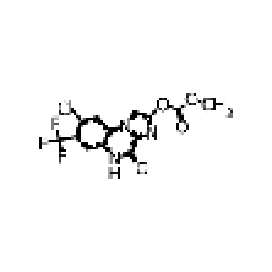 COC(=O)Oc1cn2c(n1)c(=O)[nH]c1cc(C(F)(F)F)c(Cl)cc12